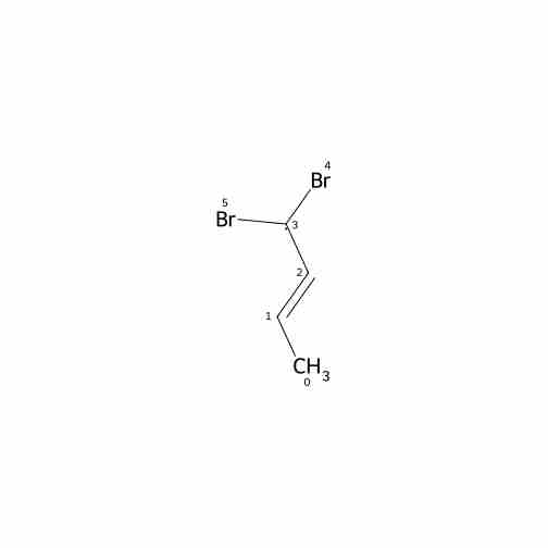 CC=C[C](Br)Br